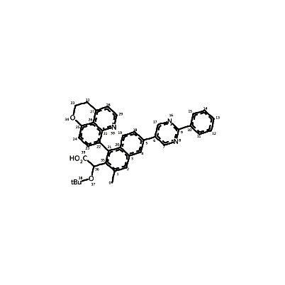 Cc1cc2cc(-c3cnc(-c4ccccc4)nc3)ccc2c(-c2ccc3c4c(ccnc24)CCO3)c1C(OC(C)(C)C)C(=O)O